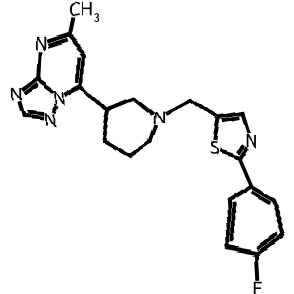 Cc1cc(C2CCCN(Cc3cnc(-c4ccc(F)cc4)s3)C2)n2ncnc2n1